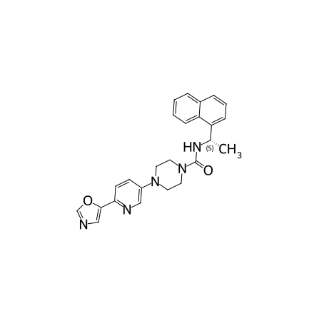 C[C@H](NC(=O)N1CCN(c2ccc(-c3cnco3)nc2)CC1)c1cccc2ccccc12